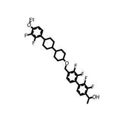 CCOc1ccc(C2CCC(C3CCC(OCc4ccc(-c5ccc(C(C)O)c(F)c5F)c(F)c4F)CC3)CC2)c(F)c1F